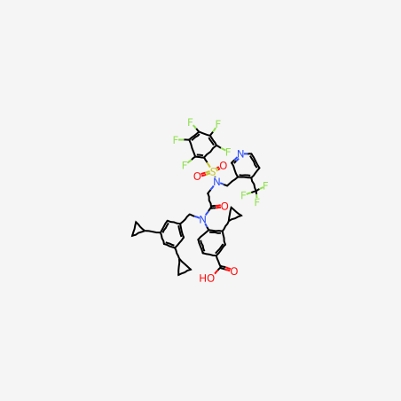 O=C(O)c1ccc(N(Cc2cc(C3CC3)cc(C3CC3)c2)C(=O)CN(Cc2cnccc2C(F)(F)F)S(=O)(=O)c2c(F)c(F)c(F)c(F)c2F)c(C2CC2)c1